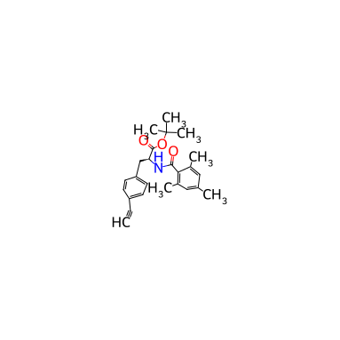 C#Cc1ccc(C[C@H](NC(=O)c2c(C)cc(C)cc2C)C(=O)OC(C)(C)C)cc1